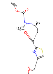 CCCCOCc1csc(C(=O)C[C@H](C(C)C)N(C)C(=O)OC(C)(C)C)n1